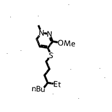 CCCCC(CC)CCCSC1=CCN(C)N=C1OC